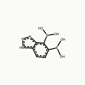 OB(O)c1ccc2[nH]nnc2c1B(O)O